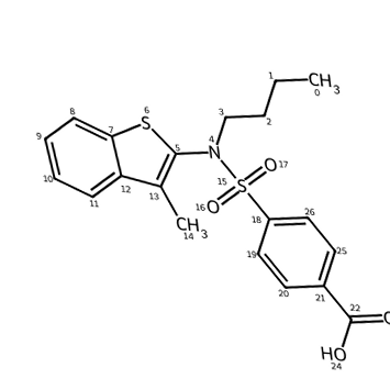 CCCCN(c1sc2ccccc2c1C)S(=O)(=O)c1ccc(C(=O)O)cc1